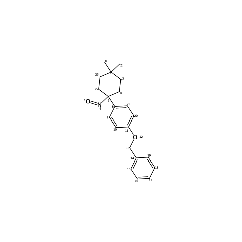 CC1(C)CCC(N=O)(c2ccc(OCc3ccccc3)cc2)CC1